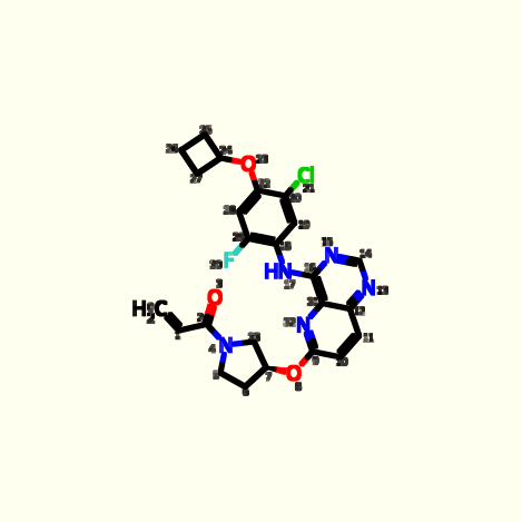 C=CC(=O)N1CC[C@H](Oc2ccc3ncnc(Nc4cc(Cl)c(OC5CCC5)cc4F)c3n2)C1